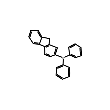 [c]1c(N(c2ccccc2)c2ccccc2)ccc2c1Cc1ccccc1-2